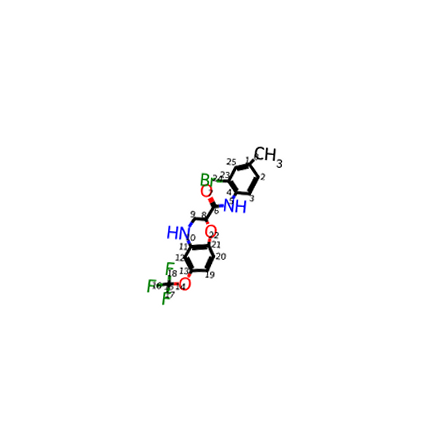 Cc1ccc(NC(=O)C2CNc3cc(OC(F)(F)F)ccc3O2)c(Br)c1